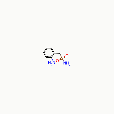 Nc1ccccc1CS(N)(=O)=O